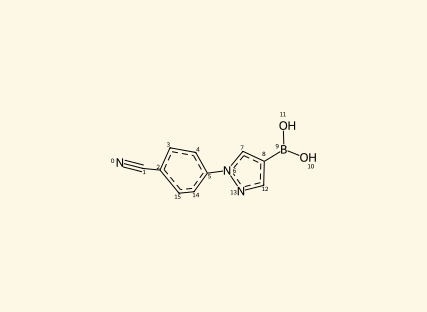 N#Cc1ccc(-n2cc(B(O)O)cn2)cc1